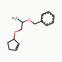 CC(COC1C=CCC1)OCc1ccccc1